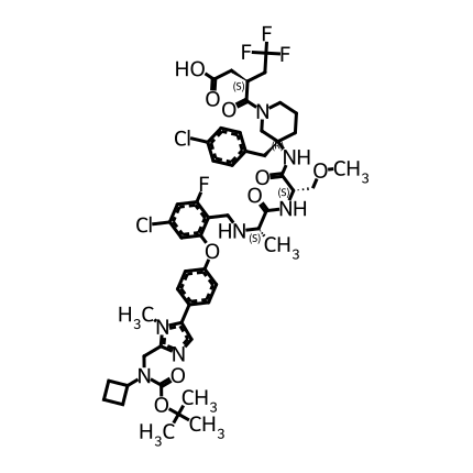 COC[C@H](NC(=O)[C@H](C)NCc1c(F)cc(Cl)cc1Oc1ccc(-c2cnc(CN(C(=O)OC(C)(C)C)C3CCC3)n2C)cc1)C(=O)N[C@@]1(Cc2ccc(Cl)cc2)CCCN(C(=O)[C@@H](CC(=O)O)CC(F)(F)F)C1